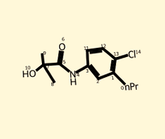 CCCc1cc(NC(=O)C(C)(C)O)ccc1Cl